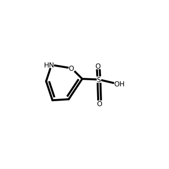 O=S(=O)(O)C1=CC=CNO1